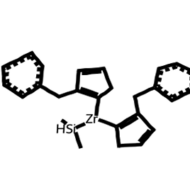 C[SiH](C)[Zr]([C]1=C(Cc2ccccc2)C=CC1)[C]1=C(Cc2ccccc2)C=CC1